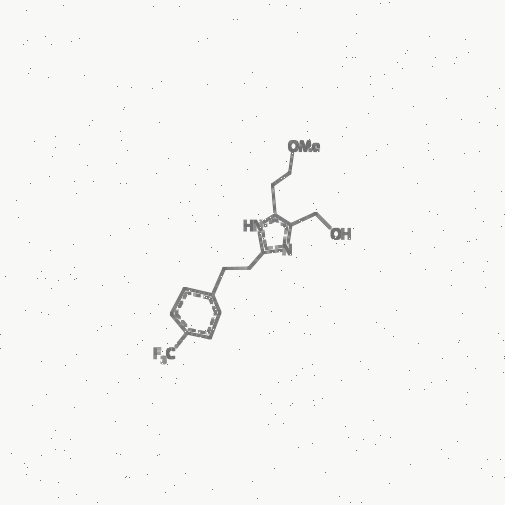 COCCc1[nH]c(CCc2ccc(C(F)(F)F)cc2)nc1CO